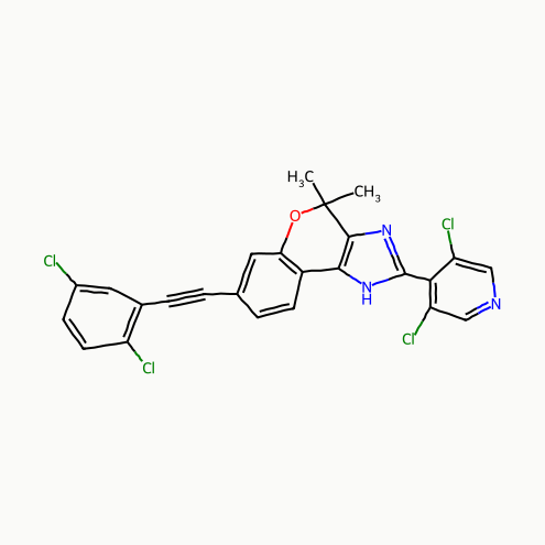 CC1(C)Oc2cc(C#Cc3cc(Cl)ccc3Cl)ccc2-c2[nH]c(-c3c(Cl)cncc3Cl)nc21